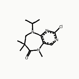 CC(C)N1CC(C)(C)C(=O)N(C)c2cnc(Cl)nc21